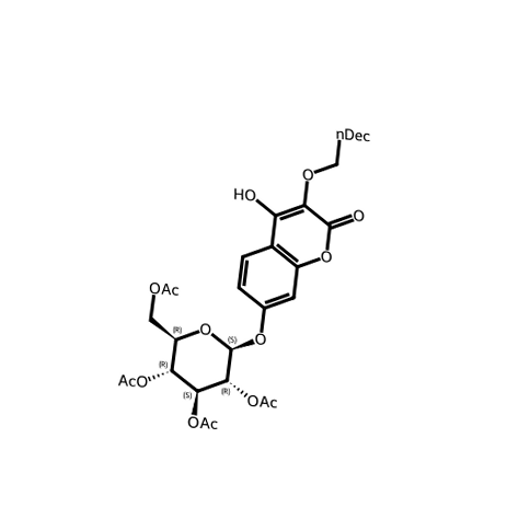 CCCCCCCCCCCOc1c(O)c2ccc(O[C@@H]3O[C@H](COC(C)=O)[C@@H](OC(C)=O)[C@H](OC(C)=O)[C@H]3OC(C)=O)cc2oc1=O